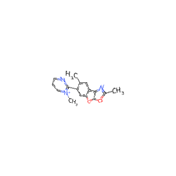 Cc1nc2c(o1)oc1cc(-c3nccc[n+]3C)c(C)cc12